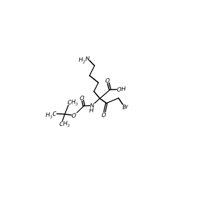 CC(C)(C)OC(=O)NC(CCCCN)(C(=O)O)C(=O)CBr